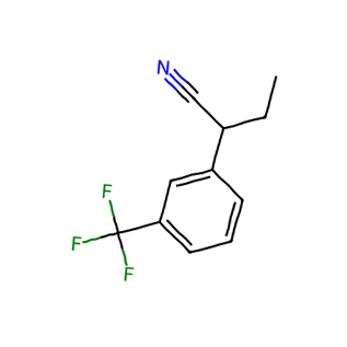 CCC(C#N)c1cccc(C(F)(F)F)c1